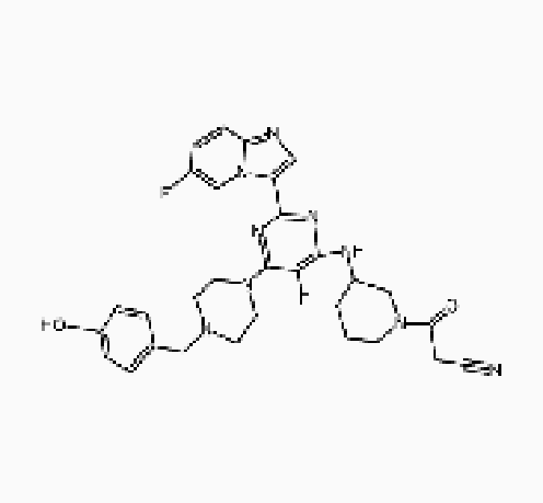 N#CCC(=O)N1CCCC(Nc2nc(-c3cnc4ccc(F)cn34)nc(N3CCN(Cc4ccc(O)cc4)CC3)c2F)C1